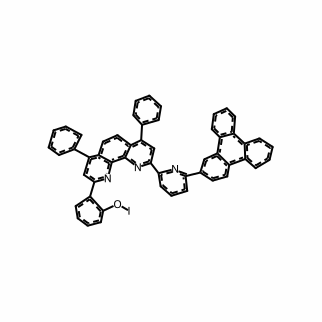 IOc1ccccc1-c1cc(-c2ccccc2)c2ccc3c(-c4ccccc4)cc(-c4cccc(-c5ccc6c7ccccc7c7ccccc7c6c5)n4)nc3c2n1